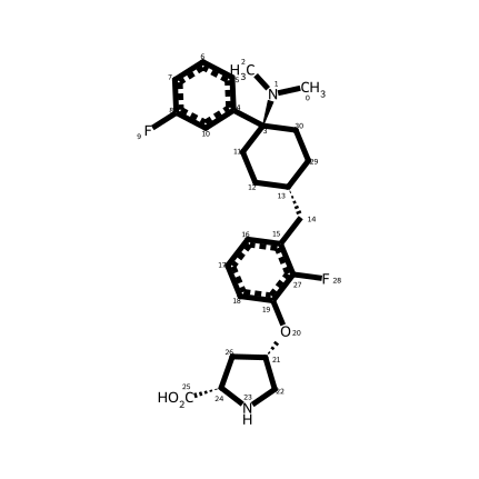 CN(C)[C@]1(c2cccc(F)c2)CC[C@@H](Cc2cccc(O[C@@H]3CN[C@H](C(=O)O)C3)c2F)CC1